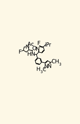 CC(=O)N1CC(F)CC1C(=O)NC(c1cccc(-c2cc(C)nn2C)c1)c1ccc(C(C)C)c(F)n1